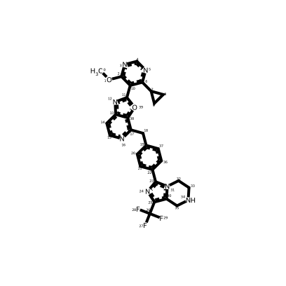 COc1ncnc(C2CC2)c1-c1nc2ccnc(Cc3ccc(-c4nc(C(F)(F)F)c5n4CCNC5)cc3)c2o1